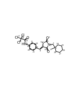 CC1(CN2C(=O)S/C(=C\c3ccc(NC(=O)C(Cl)(Cl)Cl)cc3)C2=O)CCCCC1